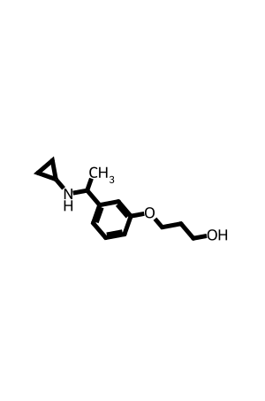 CC(NC1CC1)c1cccc(OCCCO)c1